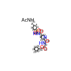 CC(=O)NCCc1ccc(S(=O)(=O)NC(=O)c2ccc(C(=O)NCC(=O)OCc3ccccc3)nc2)cc1